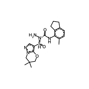 Cc1ccc2c(c1NC(=O)[N+](N)=[SH](=O)c1cnn3c1OCC(C)(C)C3)CCC2